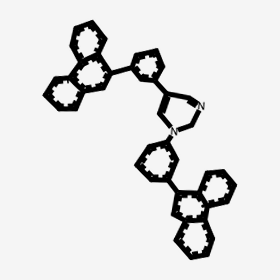 C1=NCN(c2cccc(-c3cc4ccccc4c4ccccc34)c2)C=C1c1cccc(-c2cc3ccccc3c3ccccc23)c1